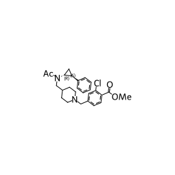 COC(=O)c1ccc(CN2CCC(CN(C(C)=O)[C@@H]3C[C@H]3c3ccccc3)CC2)cc1Cl